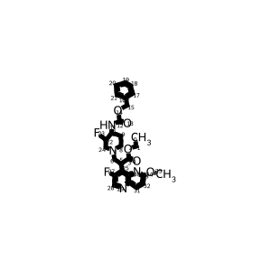 CCOC(=O)C(CN1CCC(NC(=O)OCc2ccccc2)C(F)C1)c1c(F)cnc2ccc(OC)nc12